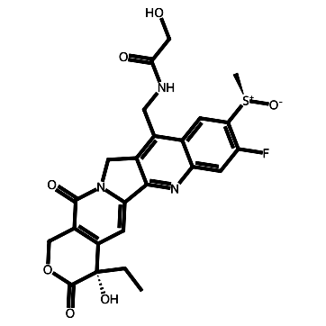 CC[C@@]1(O)C(=O)OCc2c1cc1n(c2=O)Cc2c-1nc1cc(F)c([S@@+](C)[O-])cc1c2CNC(=O)CO